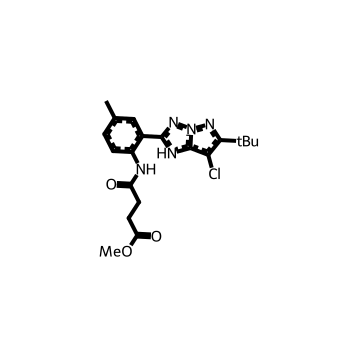 COC(=O)CCC(=O)Nc1ccc(C)cc1-c1nn2nc(C(C)(C)C)c(Cl)c2[nH]1